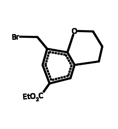 CCOC(=O)c1cc(CBr)c2c(c1)CCCO2